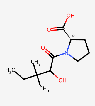 CCC(C)(C)C(O)C(=O)N1CCC[C@H]1C(=O)O